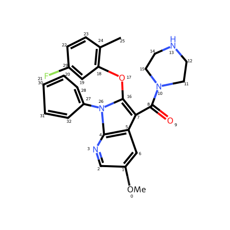 COc1cnc2c(c1)c(C(=O)N1CCNCC1)c(Oc1cc(F)ccc1C)n2-c1ccccc1